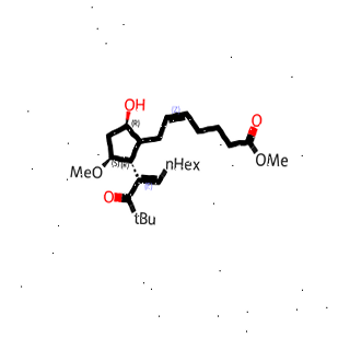 CCCCCC/C=C(/C(=O)C(C)(C)C)[C@H]1C(C/C=C\CCCC(=O)OC)[C@H](O)C[C@@H]1OC